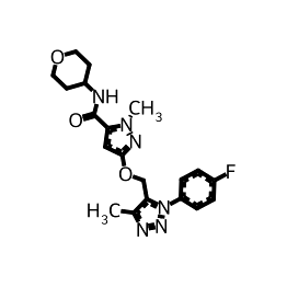 Cc1nnn(-c2ccc(F)cc2)c1COc1cc(C(=O)NC2CCOCC2)n(C)n1